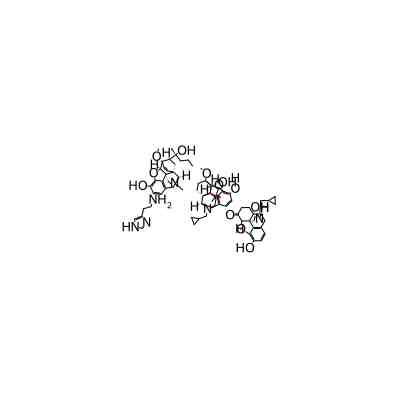 CCC[C@@](C)(O)[C@H]1C[C@@]23C=C[C@]1(OC)[C@@H]1Oc4c(O)ccc5c4[C@@]12CCN(C)[C@@H]3C5.CO[C@]12CC[C@@]3(C[C@@H]1[C@](C)(O)C(C)(C)C)[C@H]1Cc4ccc(O)c5c4[C@@]3(CCN1CC1CC1)[C@H]2O5.NCCc1c[nH]cn1.O=C1CC[C@@]2(O)[C@H]3Cc4ccc(O)c5c4[C@@]2(CCN3CC2CC2)[C@H]1O5